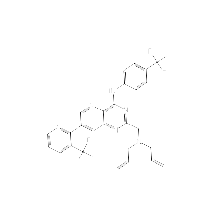 C=CCN(CC=C)Cc1nc(Nc2ccc(C(F)(F)F)cc2)c2ncc(-c3ncccc3C(F)(F)F)cc2n1